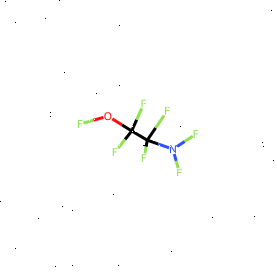 FOC(F)(F)C(F)(F)N(F)F